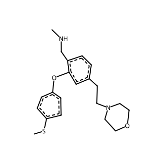 CNCc1ccc(CCN2CCOCC2)cc1Oc1ccc(SC)cc1